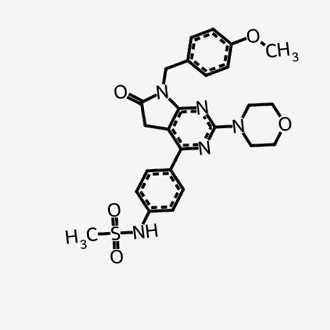 COc1ccc(CN2C(=O)Cc3c(-c4ccc(NS(C)(=O)=O)cc4)nc(N4CCOCC4)nc32)cc1